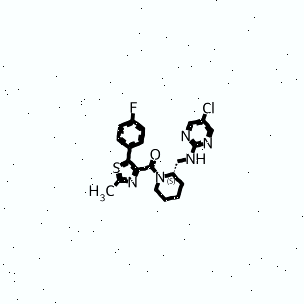 Cc1nc(C(=O)N2CCCC[C@H]2CNc2ncc(Cl)cn2)c(-c2ccc(F)cc2)s1